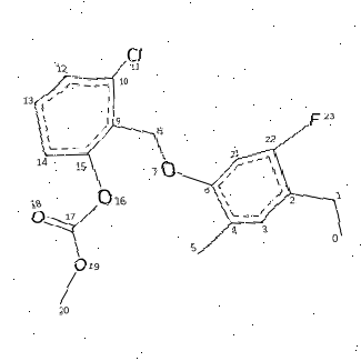 CCc1cc(C)c(OCc2c(Cl)cccc2OC(=O)OC)cc1F